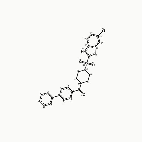 O=C(c1ccc(-c2ccccn2)nn1)N1CCN(S(=O)(=O)c2cc3cc(Cl)ccc3[nH]2)CC1